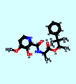 COc1ccnc(C(=O)NC(C)C(=O)OC(C)C(C)(C)c2ccccc2)c1O